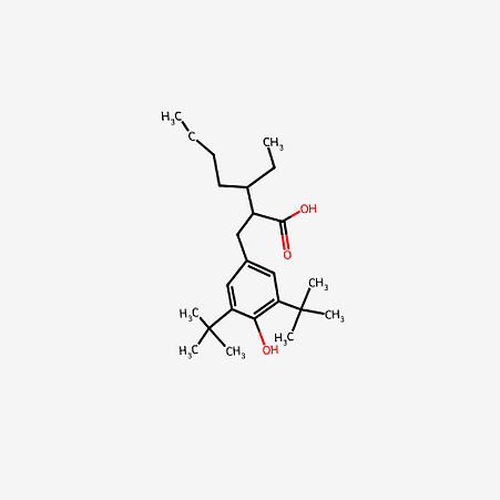 CCCCC(CC)C(Cc1cc(C(C)(C)C)c(O)c(C(C)(C)C)c1)C(=O)O